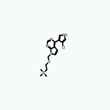 C[Si](C)(C)CCOCn1ccc2c(-c3c[nH]cc3Cl)ncnc21